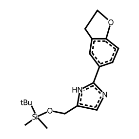 CC(C)(C)[Si](C)(C)OCc1cnc(-c2ccc3c(c2)CCO3)[nH]1